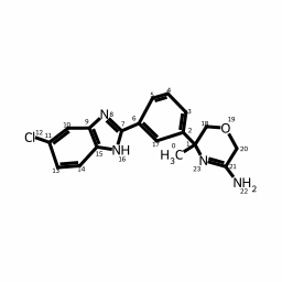 CC1(c2cccc(-c3nc4cc(Cl)ccc4[nH]3)c2)COCC(N)=N1